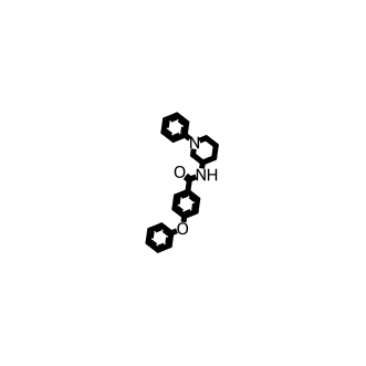 O=C(NC1CCCN(c2ccccc2)C1)c1ccc(Oc2ccccc2)cc1